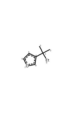 CCC(C)(C)c1ccoc1